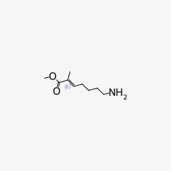 COC(=O)/C(C)=C/CCCCN